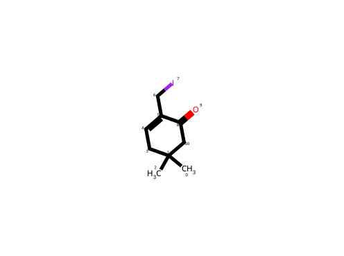 CC1(C)CC=C(CI)C(=O)C1